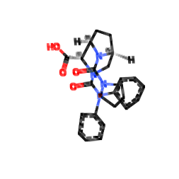 O=C(O)[C@@H]1[C@H]2CC[C@@H](CN1C(=O)N(c1ccccc1)c1ccccc1)N2C(=O)N1CCCC1